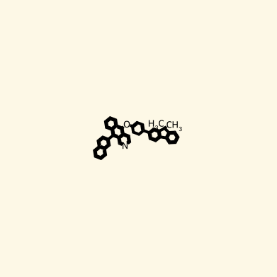 CC1(C)c2ccccc2-c2ccc(C3=CC=C(Oc4c5ccccc5c(-c5ccc6ccccc6c5)c5cnccc45)CC3)cc21